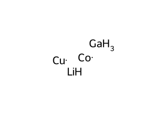 [Co].[Cu].[GaH3].[LiH]